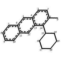 Cc1ccc2cc3ccccc3cc2c1C1CCCCC1